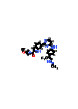 C=NN/C=C(\C)c1ccc(Nc2ccnc(-c3ccc4cc(C(=O)N5CC(OC(F)(F)F)C5)[nH]c4c3)n2)cc1